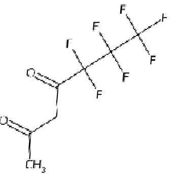 CC(=O)CC(=O)C(F)(F)C(F)(F)C(F)(F)F